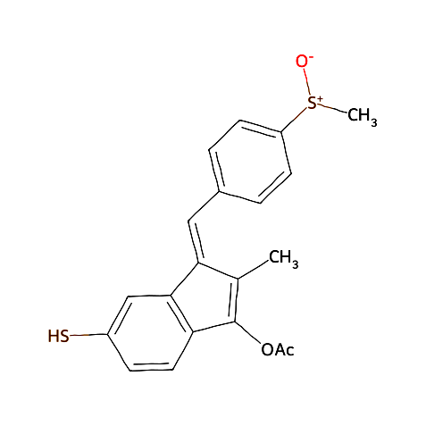 CC(=O)OC1=C(C)C(=Cc2ccc([S+](C)[O-])cc2)c2cc(S)ccc21